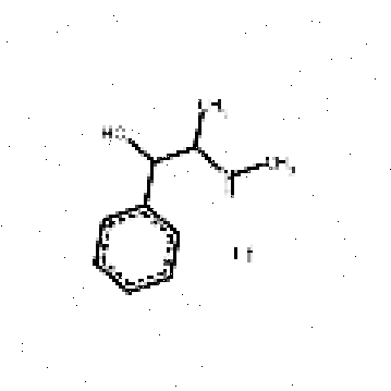 CNC(C)C(O)c1ccccc1.[Hf]